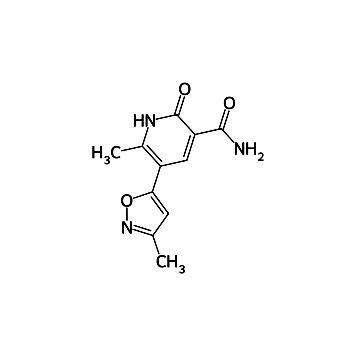 Cc1cc(-c2cc(C(N)=O)c(=O)[nH]c2C)on1